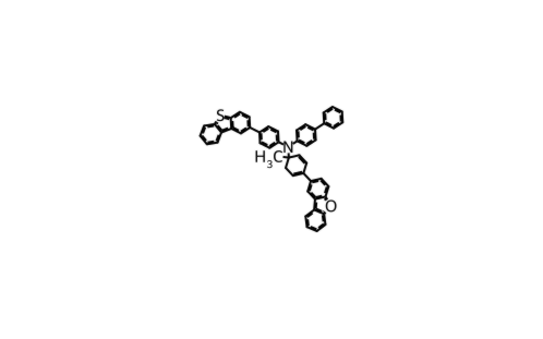 CC1(N(c2ccc(-c3ccccc3)cc2)c2ccc(-c3ccc4sc5ccccc5c4c3)cc2)C=CC(c2ccc3oc4ccccc4c3c2)=CC1